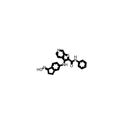 O=C(Nc1ccccc1)c1sc2cnccc2c1Nc1ccc2c(c1)CC/C2=N\O